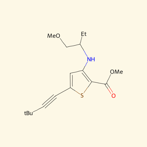 CCC(COC)Nc1cc(C#CC(C)(C)C)sc1C(=O)OC